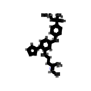 CCOC(=O)N=S(C)(=O)c1ccc(Nc2ncc(-c3cccs3)c(NCC/C(C)=N/O)n2)cc1